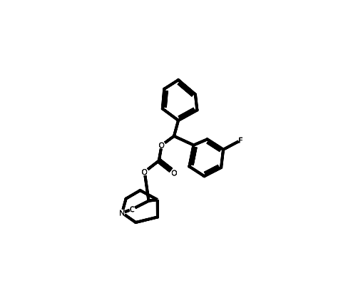 O=C(OC(c1ccccc1)c1cccc(F)c1)OC1CN2CCC1CC2